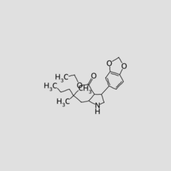 CCCC(C)(C)CC1NCC(c2ccc3c(c2)OCO3)C1C(=O)OCC